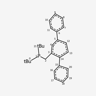 CC(C)(C)P(Cc1cc(-c2ccccc2)ccc1-c1ccccc1)C(C)(C)C